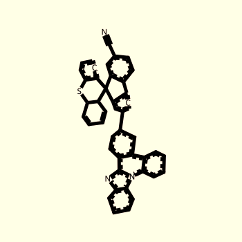 N#Cc1ccc2c(c1)C1(c3ccccc3SC3C=CC=CC31)c1cc(-c3ccc4c(c3)c3ccccc3n3c5ccccc5nc43)ccc1-2